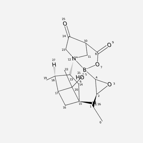 CC[C@@H]1OC1[B@-]1(O)OC(=O)C2C[N@+]1(C1C[C@@H]3CC([C@H]1C)C3(C)C)CC2=O